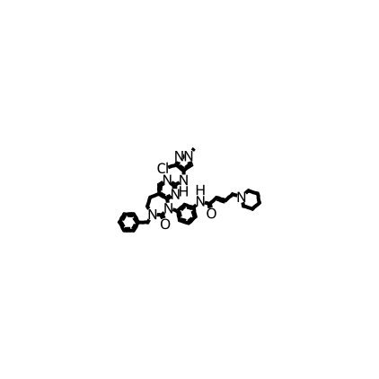 Cn1cc(Nc2ncc3c(n2)N(c2cccc(NC(=O)/C=C/CN4CCCCC4)c2)C(=O)N(Cc2ccccc2)CC3)c(Cl)n1